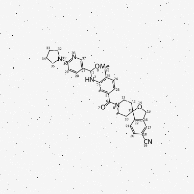 COC(Nc1cc(C(=O)N2CCC3(CC2)OCc2cc(C#N)ccc23)ccc1C)c1ccc(N2CCCC2)nc1